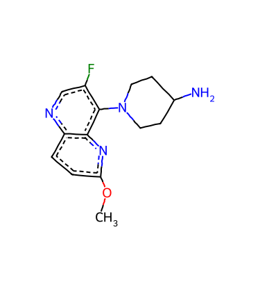 COc1ccc2ncc(F)c(N3CCC(N)CC3)c2n1